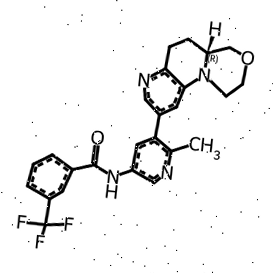 Cc1ncc(NC(=O)c2cccc(C(F)(F)F)c2)cc1-c1cnc2c(c1)N1CCOC[C@H]1CC2